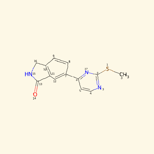 CSc1nccc(-c2ccc3c(c2)C(=O)NC3)n1